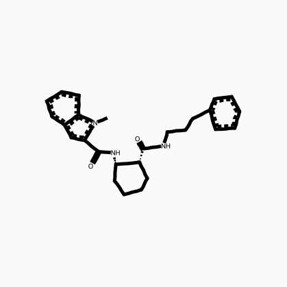 Cn1c(C(=O)N[C@H]2CCCC[C@H]2C(=O)NCCCc2ccccc2)cc2ccccc21